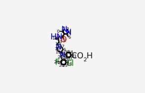 Cc1ncnc(C)c1C(=O)NC(C)CCN1CCC(N(Cc2cc(Cl)ccc2F)c2ccc(C(=O)O)cc2)CC1